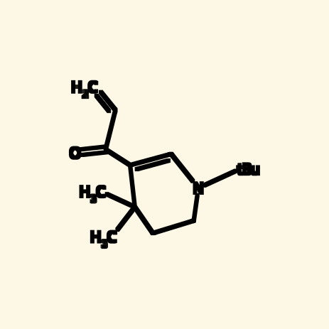 C=CC(=O)C1=CN(C(C)(C)C)CCC1(C)C